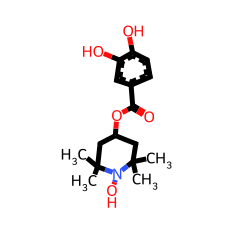 CC1(C)CC(OC(=O)c2ccc(O)c(O)c2)CC(C)(C)N1O